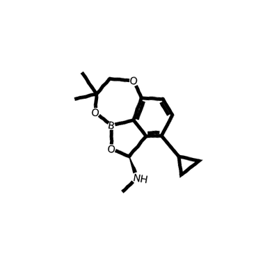 CN[C@H]1OB2OC(C)(C)COc3ccc(C4CC4)c1c32